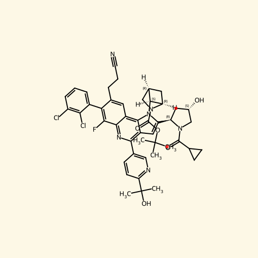 CC(C)(C)OC(=O)N1C[C@H]2C[C@@H]1[C@H]2n1c([C@H]2C[C@H](O)CN2C(=O)C2CC2)cc2c(-c3ccc(C(C)(C)O)nc3)nc3c(F)c(-c4cccc(Cl)c4Cl)c(CCC#N)cc3c21